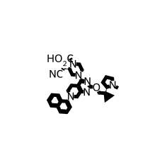 CN1CCC[C@H]1C1(COc2nc3c(c(N4CCN(C(=O)O)[C@@H](CC#N)C4)n2)CCN(c2cccc4ccccc24)C3)CC1